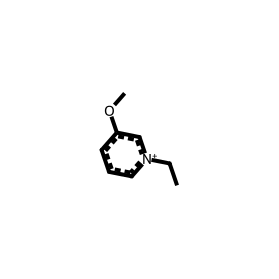 CC[n+]1cccc(OC)c1